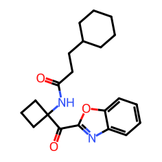 O=C(CCC1CCCCC1)NC1(C(=O)c2nc3ccccc3o2)CCC1